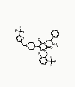 NC(Cn1c(=O)c(N2CCN(Cc3ccc(C(F)(F)F)o3)CC2)nn(Cc2c(F)cccc2C(F)(F)F)c1=O)c1ccccc1